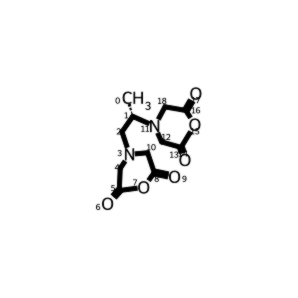 C[C@@H](CN1CC(=O)OC(=O)C1)N1CC(=O)OC(=O)C1